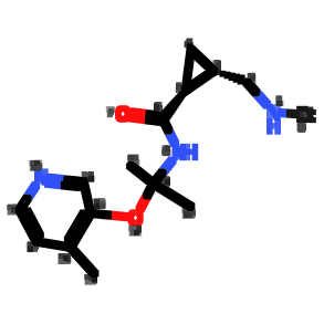 CCNC[C@H]1C[C@@H]1C(=O)NC(C)(C)Oc1cnccc1C